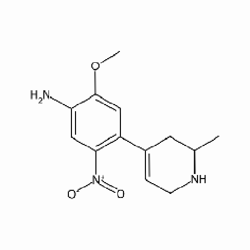 COc1cc(C2=CCNC(C)C2)c([N+](=O)[O-])cc1N